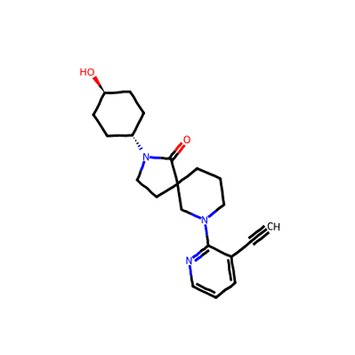 C#Cc1cccnc1N1CCCC2(CCN([C@H]3CC[C@H](O)CC3)C2=O)C1